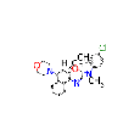 CN1c2ccc(Cl)cc2C(C)(C)C12C=Nc1c(cc(N3CCOCC3)c3ccccc13)O2